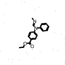 CCOC(=O)c1ccc(N(C=NC)c2ccccc2)cc1